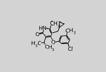 Cc1cc(Cl)cc(Oc2c(CC3CC3)c(C)[nH]c(=O)c2C(C)C)c1